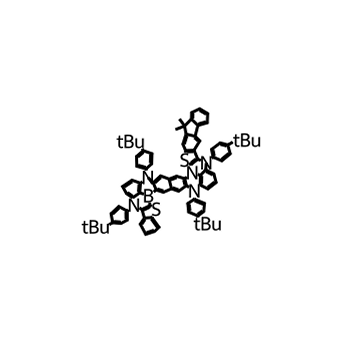 CC(C)(C)c1ccc(N2c3cc4cc5c(cc4cc3B3c4sc6ccccc6c4N(c4ccc(C(C)(C)C)cc4)c4cccc2c43)N(c2ccc(C(C)(C)C)cc2)c2cccc3c2N5c2sc4cc5c(cc4c2N3c2ccc(C(C)(C)C)cc2)-c2ccccc2C5(C)C)cc1